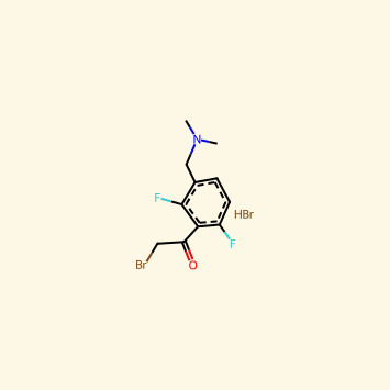 Br.CN(C)Cc1ccc(F)c(C(=O)CBr)c1F